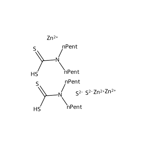 CCCCCN(CCCCC)C(=S)S.CCCCCN(CCCCC)C(=S)S.[S-2].[S-2].[Zn+2].[Zn+2].[Zn+2]